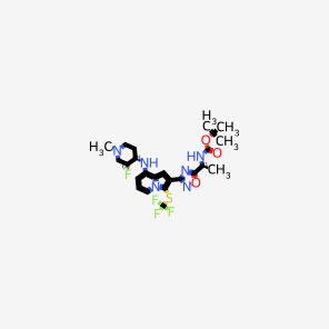 C[C@H](NC(=O)OC(C)(C)C)c1nc(-c2cc3c(N[C@@H]4CCN(C)C[C@@H]4F)cccn3c2SC(F)(F)F)no1